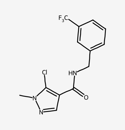 Cn1ncc(C(=O)NCc2cccc(C(F)(F)F)c2)c1Cl